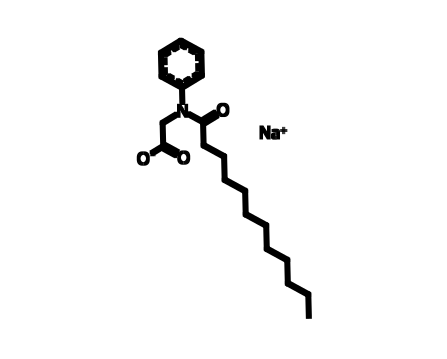 CCCCCCCCCCCC(=O)N(CC(=O)[O-])c1ccccc1.[Na+]